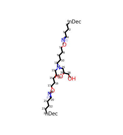 CCCCCCCCCCCCC/C=N/OCCCCCN(CCCCCO/N=C/CCCCCCCCCCCCC)CC(O)CO